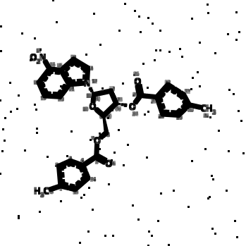 Cc1ccc(C(=O)OC[C@H]2O[C@H](n3ccc4c([N+](=O)[O-])cccc43)C[C@@H]2OC(=O)c2ccc(C)cc2)cc1